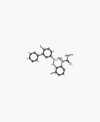 CNC(=O)N(N)c1cccc(C)c1COc1ccc(C)c(-c2ccccc2)c1